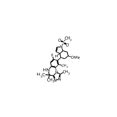 COC1CC(c2c(F)cc3c(c2C)-n2c(C)nnc2C(C)(C)N3)[C@@H]2C=CN(S(C)(=O)=O)C2C1